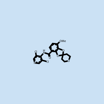 COc1ccc(C(=O)Nc2c(Cl)cncc2Cl)c2c1OC1(CCOCC1)O2